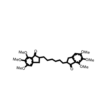 COc1cc2c(c(OC)c1OC)C(=O)C(CCCCCCC1Cc3cc(OC)c(OC)c(OC)c3C1=O)C2